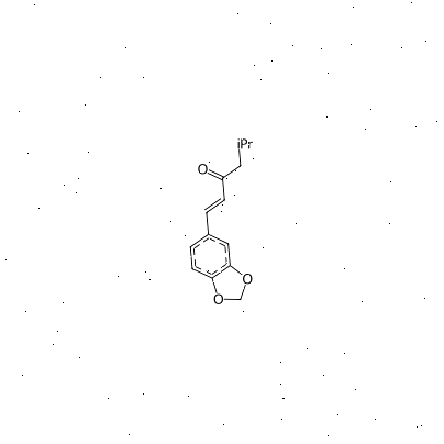 CC(C)CC(=O)C=Cc1ccc2c(c1)OCO2